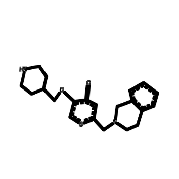 O=c1cc(CN2CCc3ccccc3C2)occ1OCC1CCNCC1